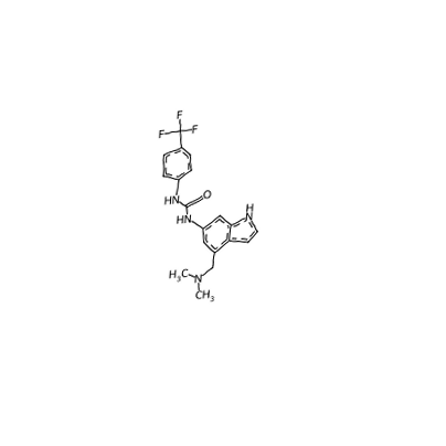 CN(C)Cc1cc(NC(=O)Nc2ccc(C(F)(F)F)cc2)cc2[nH]ccc12